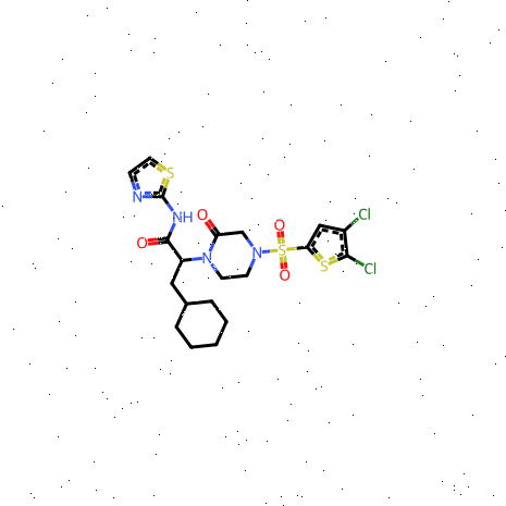 O=C(Nc1nccs1)C(CC1CCCCC1)N1CCN(S(=O)(=O)c2cc(Cl)c(Cl)s2)CC1=O